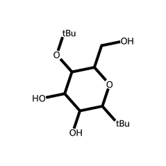 CC(C)(C)OC1C(CO)OC(C(C)(C)C)C(O)C1O